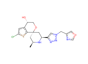 C[C@H]1C[C@@]2(C[C@@H](c3cn(Cc4cocn4)nn3)N1)OC[C@@H](O)c1cc(Cl)sc12